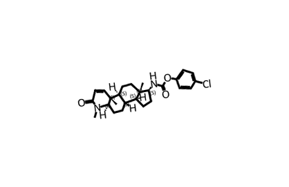 CN1C(=O)C=C[C@]2(C)[C@H]3CC[C@]4(C)[C@@H](NC(=O)Oc5ccc(Cl)cc5)CC[C@H]4[C@@H]3CC[C@@H]12